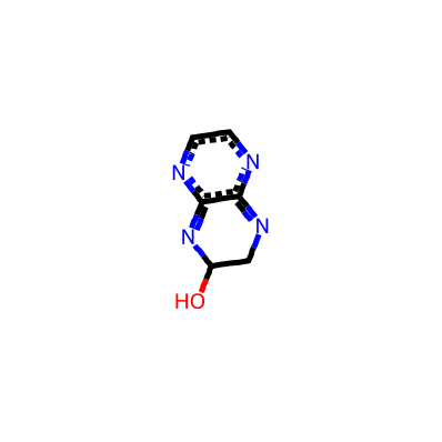 OC1CN=c2nccnc2=N1